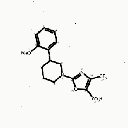 COc1ccccc1C1CCCN(c2nc(C(F)(F)F)c(C(=O)O)o2)C1